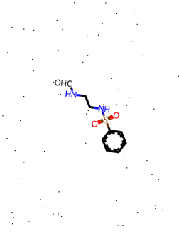 O=[C]NCCNS(=O)(=O)c1ccccc1